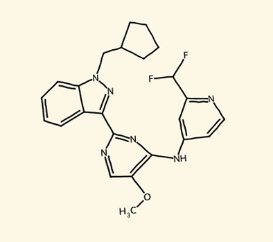 COc1cnc(-c2nn(CC3CCCC3)c3ccccc23)nc1Nc1ccnc(C(F)F)c1